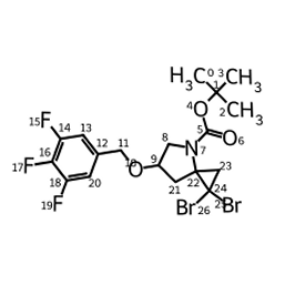 CC(C)(C)OC(=O)N1CC(OCc2cc(F)c(F)c(F)c2)CC12CC2(Br)Br